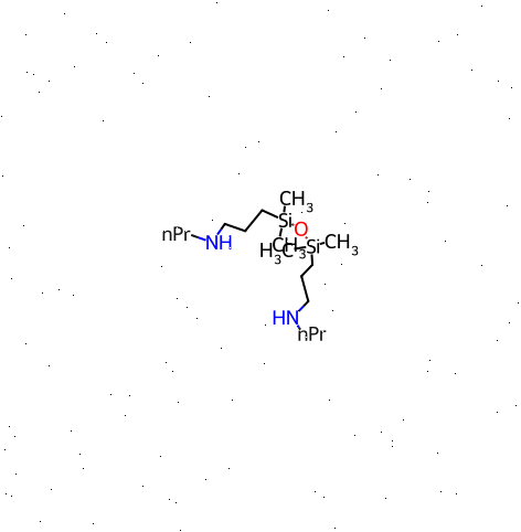 CCCNCCC[Si](C)(C)O[Si](C)(C)CCCNCCC